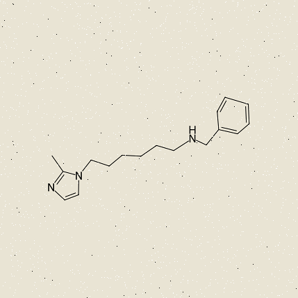 Cc1nccn1CCCCCCNCc1ccccc1